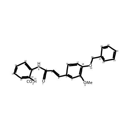 COc1cc(C=CC(=O)Nc2ccccc2C(=O)O)ccc1OCc1ccccc1